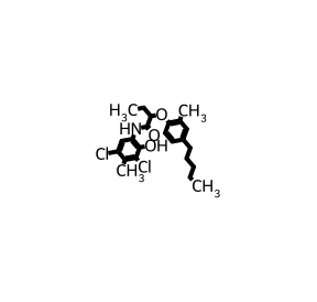 CCCCCc1ccc(OC(CC)C(=O)Nc2cc(Cl)c(C)c(Cl)c2O)c(C)c1